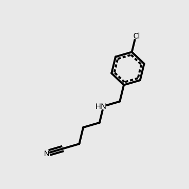 N#CCCCNCc1ccc(Cl)cc1